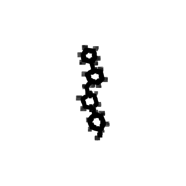 Fc1ccc(N2CCN(Cc3cccc(-c4ccccc4)c3)CC2)cc1